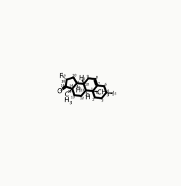 C[C@]12CC[C@H](I)CC1=CC[C@@H]1[C@@H]2CC[C@]2(C)C(=O)[C@H](F)C[C@@H]12